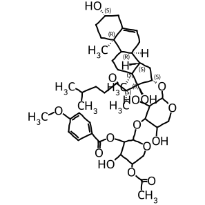 COc1ccc(C(=O)OC2C(OC3C(O)COC(O[C@H]4C[C@H]5[C@@H]6CC=C7C[C@@H](O)CC[C@]7(C)C6CC[C@]5(C)[C@@]4(O)[C@H](C)C(=O)CCC(C)C)C3O)OCC(OC(C)=O)C2O)cc1